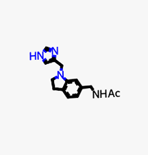 CC(=O)NCc1ccc2c(c1)N(Cc1c[nH]cn1)CC2